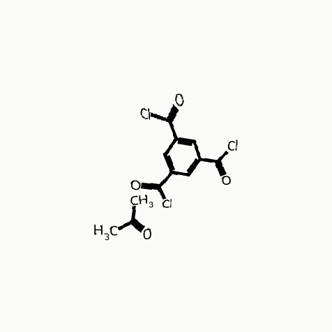 CC(C)=O.O=C(Cl)c1cc(C(=O)Cl)cc(C(=O)Cl)c1